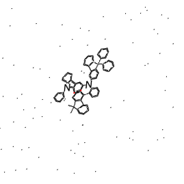 CC1(C)c2ccccc2-c2c(-c3ccccc3N(c3ccc4c(c3)-c3ccccc3C4(c3ccccc3)c3ccccc3)c3ccc4c(c3)c3ccccc3n4-c3ccccc3)cccc21